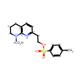 Cc1ccc(S(=O)(=O)OCCc2ccc3c(n2)N(C(=O)O)CCC3)cc1